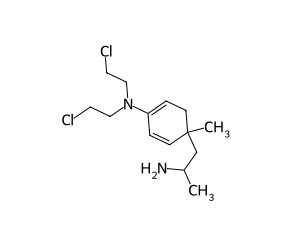 CC(N)CC1(C)C=CC(N(CCCl)CCCl)=CC1